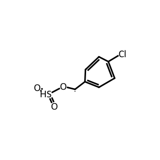 O=[SH](=O)O[CH]c1ccc(Cl)cc1